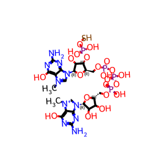 C[n+]1cn([C@@H]2O[C@H](COP(=O)(O)OP(=O)(O)OP(=O)(O)OC[C@H]3O[C@@H](n4c[n+](C)c5c(O)nc(N)nc54)C(O)[C@H]3OP(=O)(O)OS)C(O)C2O)c2nc(N)nc(O)c21